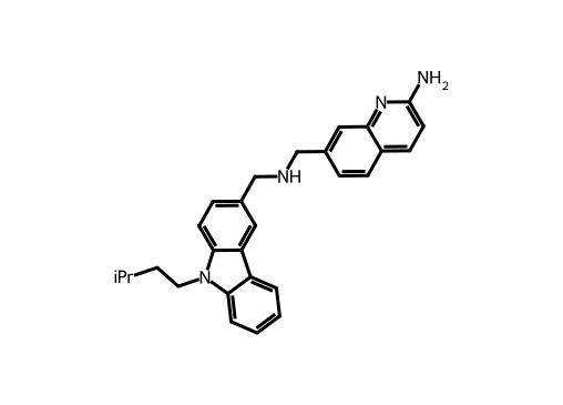 CC(C)CCn1c2ccccc2c2cc(CNCc3ccc4ccc(N)nc4c3)ccc21